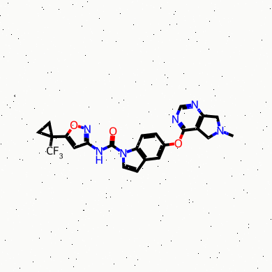 CN1Cc2ncnc(Oc3ccc4c(ccn4C(=O)Nc4cc(C5(C(F)(F)F)CC5)on4)c3)c2C1